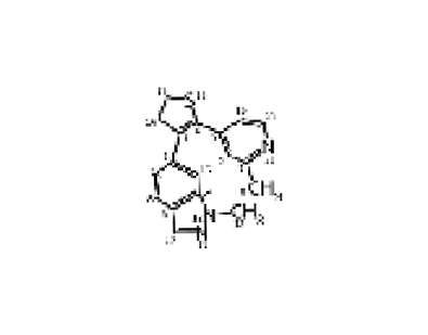 Cc1cc(C2=C(c3ccc4cnn(C)c4c3)CCS2)ccn1